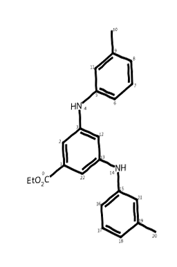 CCOC(=O)c1cc(Nc2cccc(C)c2)cc(Nc2cccc(C)c2)c1